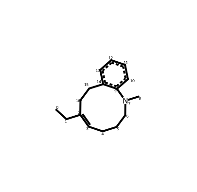 CC/C1=C/CCCN(C)c2ccccc2CC1